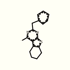 [CH2]c1nc(Cc2ccccc2)nc2sc3c(c12)CCCC3